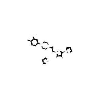 COc1cc(N2CCN(C(=O)Cn3nc(-n4cccn4)c(Cl)c3C)CC2)ccc1Cl.c1cn[nH]c1